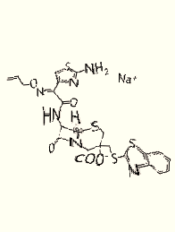 C=CCON=C(C(=O)NC1C(=O)N2CC(CSc3nc4ccccc4s3)(C(=O)[O-])CS[C@H]12)c1csc(N)n1.[Na+]